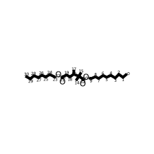 CCCCCCCCCCOC(=O)C(C)(C)C(C)CCC(=O)OCCCCCCCC